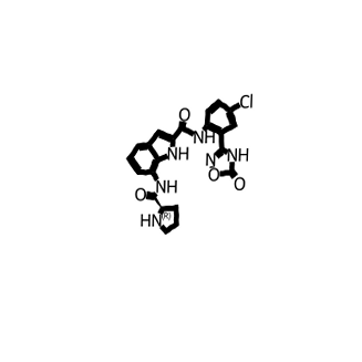 O=C(Nc1ccc(Cl)cc1-c1noc(=O)[nH]1)c1cc2cccc(NC(=O)[C@H]3CCCN3)c2[nH]1